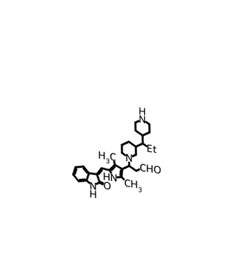 CCC(C1CCNCC1)C1CCCN(C(CC=O)c2c(C)[nH]c(C=C3C(=O)Nc4ccccc43)c2C)C1